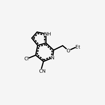 CCOCc1nc(C#N)c(Cl)c2cc[nH]c12